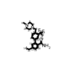 CN1CCN(Cc2ccc(-c3cc(CI)ccc3C(N)=O)cc2C(F)(F)F)CC1